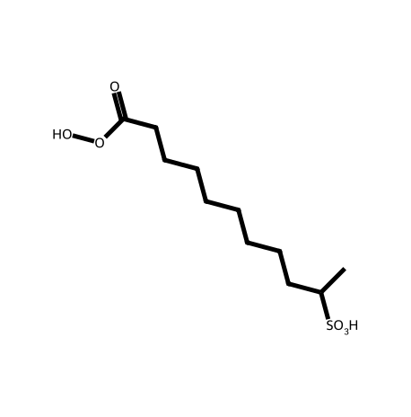 CC(CCCCCCCCC(=O)OO)S(=O)(=O)O